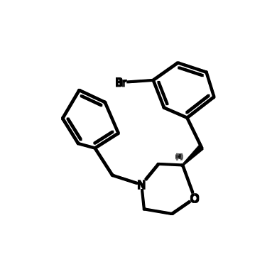 Brc1cccc(C[C@@H]2CN(Cc3ccccc3)CCO2)c1